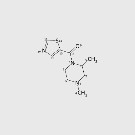 CC1CN(C)CCN1C(=O)c1cncs1